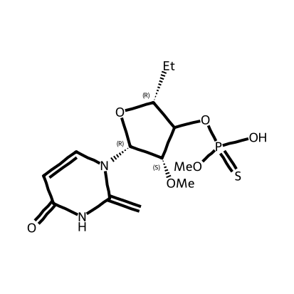 C=C1NC(=O)C=CN1[C@@H]1O[C@H](CC)C(OP(O)(=S)OC)[C@@H]1OC